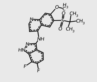 COc1cc2nccc(Nc3n[nH]c4c(F)c(F)ccc34)c2cc1S(=O)(=O)C(C)(C)C